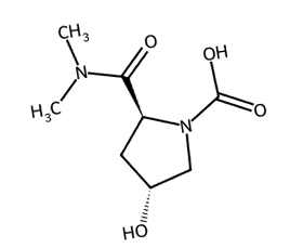 CN(C)C(=O)[C@@H]1C[C@@H](O)CN1C(=O)O